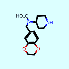 O=C(O)N(Cc1ccc2c(c1)OCCO2)C1CCNCC1